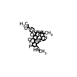 C=CC(=O)N1CCN(c2nc(=O)n(-c3c(C)ccnc3C(C)C)c3c4c(c(Cl)cc23)-c2c(F)c(F)cc(CNC)c2CO4)[C@@H](C)C1